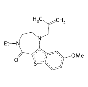 C=C(C)CN1CCN(CC)C(=O)c2sc3ccc(OC)cc3c21